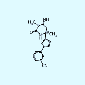 CN1C(=N)C[C@@](C)(c2ccc(-c3cccc(C#N)c3)s2)NC1=O